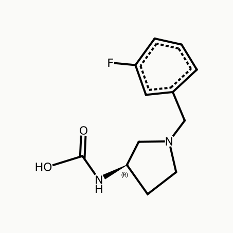 O=C(O)N[C@@H]1CCN(Cc2cccc(F)c2)C1